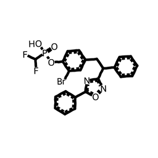 O=P(O)(Oc1ccc(CC(c2ccccc2)c2noc(-c3ccccc3)n2)cc1Br)C(F)F